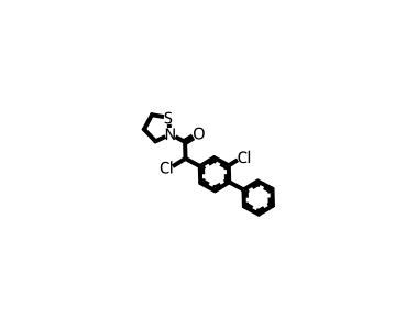 O=C(C(Cl)c1ccc(-c2ccccc2)c(Cl)c1)N1CCCS1